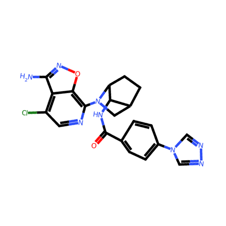 Nc1noc2c(N3CC4CCC3C4NC(=O)c3ccc(-n4cnnc4)cc3)ncc(Cl)c12